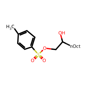 CCCCCCCCC(O)COS(=O)(=O)c1ccc(C)cc1